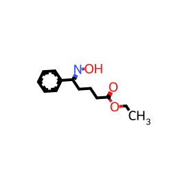 CCOC(=O)CCCC(=NO)c1ccccc1